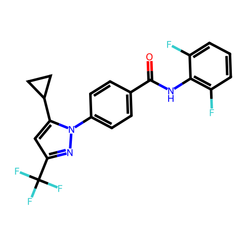 O=C(Nc1c(F)cccc1F)c1ccc(-n2nc(C(F)(F)F)cc2C2CC2)cc1